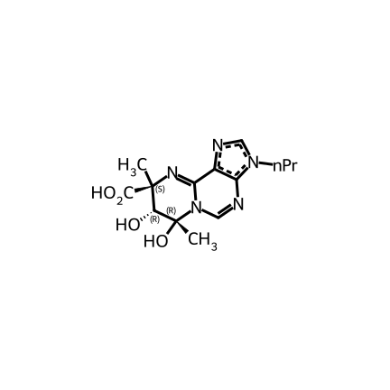 CCCn1cnc2c1N=CN1C2=N[C@](C)(C(=O)O)[C@@H](O)[C@@]1(C)O